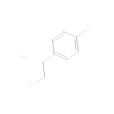 C[C@@H](CO)c1ccc(Br)cc1